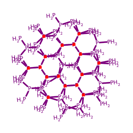 PP(P)P(P)P(P(P(P)P)P(P)P)P(P(P(P)P)P(P)P)P(P(P(P(P)P)P(P)P)P(P(P)P)P(P)P)P(P(P(P(P(P)P)P(P)P)P(P(P)P)P(P)P)P(P(P(P)P)P(P)P)P(P(P)P)P(P)P)P(P(P(P(P)P)P(P)P)P(P(P)P)P(P)P)P(P(P(P)P)P(P)P)P(P(P)P)P(P)P